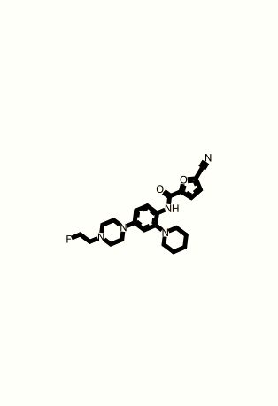 N#Cc1ccc(C(=O)Nc2ccc(N3CCN(CCF)CC3)cc2N2CCCCC2)o1